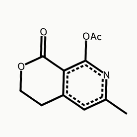 CC(=O)Oc1nc(C)cc2c1C(=O)OCC2